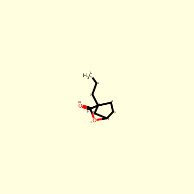 CCCC12CCC(C1)OC2=O